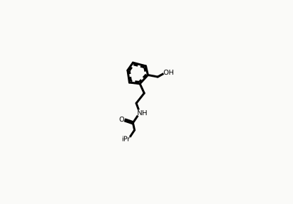 CC(C)CC(=O)NCCc1ccccc1CO